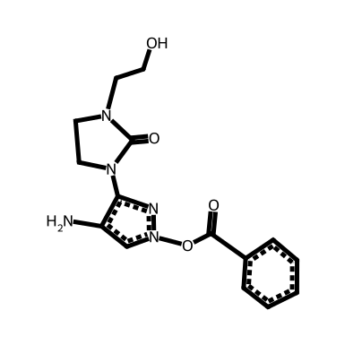 Nc1cn(OC(=O)c2ccccc2)nc1N1CCN(CCO)C1=O